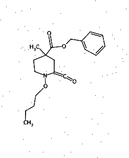 CCCCON1CCC(C)(C(=O)OCc2ccccc2)CC1=C=O